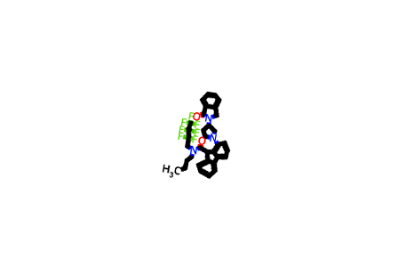 CCCCN(CC(F)(F)C(F)(F)C(F)(F)F)C(=O)C1c2ccccc2-c2cccc(N3CCC(N4Cc5ccccc5C4=O)C3)c21